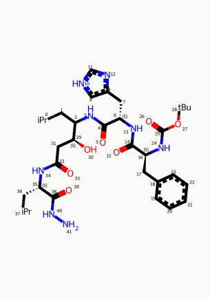 CC(C)CC(NC(=O)[C@H](Cc1c[nH]cn1)NC(=O)[C@H](Cc1ccccc1)NC(=O)OC(C)(C)C)[C@@H](O)CC(=O)N[C@@H](CC(C)C)C(=O)NN